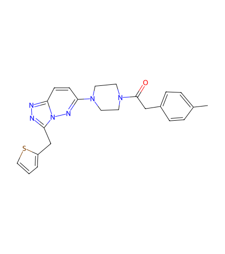 Cc1ccc(CC(=O)N2CCN(c3ccc4nnc(Cc5cccs5)n4n3)CC2)cc1